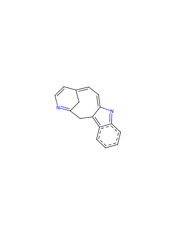 C1=C/C2=C/C=C3/N=c4ccccc4=C3CC(=N1)C2